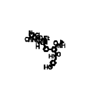 CCn1nc(-c2cccc(-c3cc(C(=O)NCc4ccc(O)cc4)cc(C(=O)NC4CC4)c3)c2)cc(NC(=O)Nc2c(Cl)cncc2Cl)c1=O